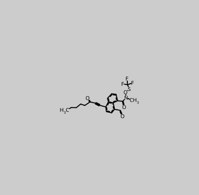 CCCCCC(=O)C#Cc1ccc(C=O)c2c(C(=O)N(C)OSC(F)(F)F)cccc12